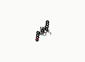 C[C@H]1O[C@H](Oc2cccc3cc4cc5ccccc5cc4cc23)C[C@H](N)[C@H]1Oc1cccc2cc3cc4ccccc4cc3cc12.Cl